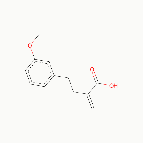 C=C(CCc1cccc(OC)c1)C(=O)O